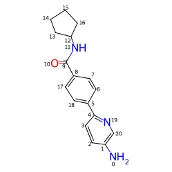 Nc1ccc(-c2ccc(C(=O)NC3CCCC3)cc2)nc1